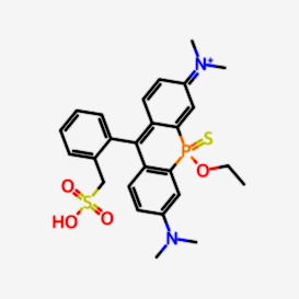 CCOP1(=S)C2=CC(=[N+](C)C)C=CC2=C(c2ccccc2CS(=O)(=O)O)c2ccc(N(C)C)cc21